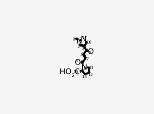 Cn1cc(C(=O)/C=C/C(=O)N2CCC[C@H]2C(=O)O)cn1